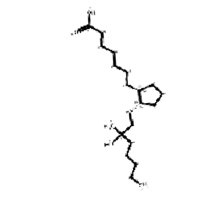 CCCCCC(C)(O)CC[C@H]1CCC[C@@H]1CCCCCCC(=O)O